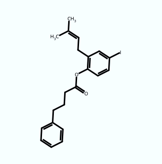 CC(C)=CCc1cc(I)ccc1OC(=O)CCCc1ccccc1